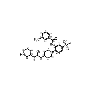 CS(=O)(=O)c1cnc(N2CCC(CC(=O)N[C@@H]3CCCNC3)CC2)c(NC(=O)c2cccc(C(F)(F)F)c2)c1